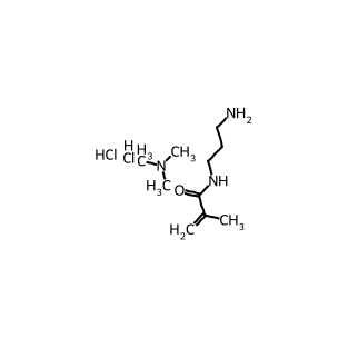 C=C(C)C(=O)NCCCN.CN(C)C.Cl.Cl